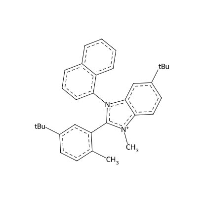 Cc1ccc(C(C)(C)C)cc1-c1n(-c2cccc3ccccc23)c2cc(C(C)(C)C)ccc2[n+]1C